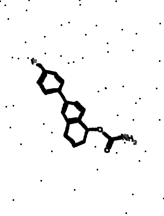 NC(=O)OC1CCCc2cc(-c3ccc(F)cc3)ccc21